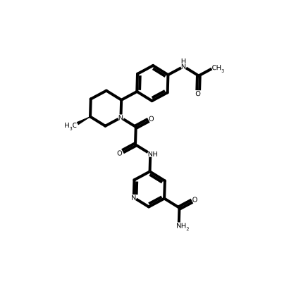 CC(=O)Nc1ccc(C2CC[C@H](C)CN2C(=O)C(=O)Nc2cncc(C(N)=O)c2)cc1